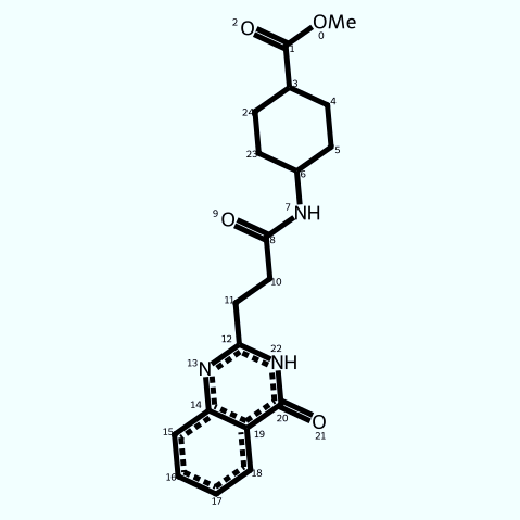 COC(=O)C1CCC(NC(=O)CCc2nc3ccccc3c(=O)[nH]2)CC1